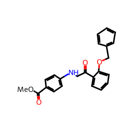 COC(=O)c1ccc(NCC(=O)c2ccccc2OCc2ccccc2)cc1